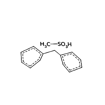 CS(=O)(=O)O.c1ccc(Cc2ccccc2)cc1